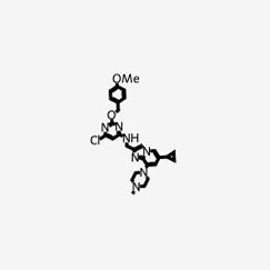 COc1ccc(COc2nc(Cl)cc(NCc3cn4cc(C5CC5)cc(N5CCN(C)CC5)c4n3)n2)cc1